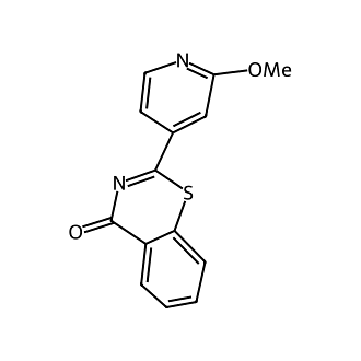 COc1cc(-c2nc(=O)c3ccccc3s2)ccn1